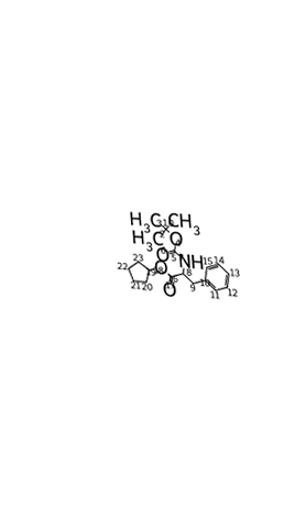 CC(C)(C)OC(=O)NC(Cc1ccccc1)C(=O)OC1CCCC1